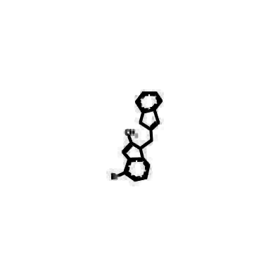 CC1=Cc2c(Br)cccc2C1CC1=Cc2ccccc2C1